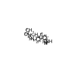 C=CC(=O)N1CCN(Cc2ccc(-c3c(C)ccc4[nH]ncc34)cc2)CC1